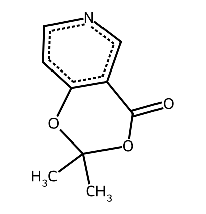 CC1(C)OC(=O)c2cnccc2O1